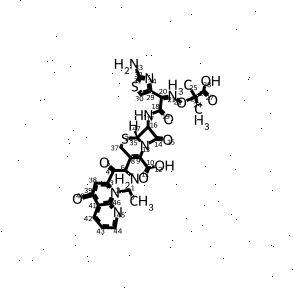 CCn1c(C(=O)C(N)C2=C(C(=O)O)N3C(=O)C(NC(=O)/C(=N\OC(C)(C)C(=O)O)c4csc(N)n4)[C@H]3SC2)cc(=O)c2cccnc21